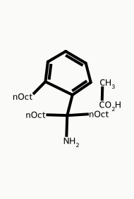 CC(=O)O.CCCCCCCCc1ccccc1C(N)(CCCCCCCC)CCCCCCCC